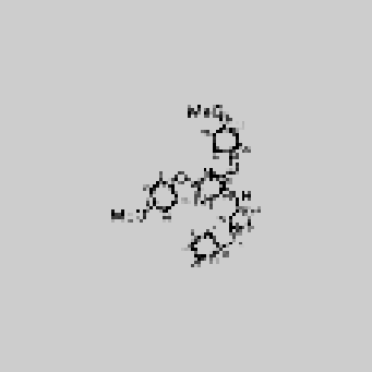 COc1ccc(Oc2ncc(NC3CCN(Cc4ccccc4)C3)c(Oc3ccc(OC)cc3)n2)cc1